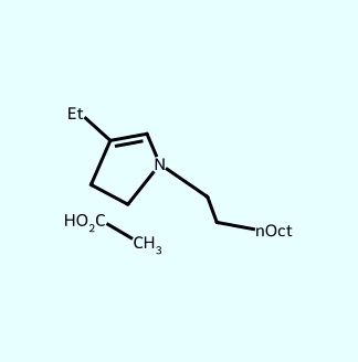 CC(=O)O.CCCCCCCCCCN1C=C(CC)CC1